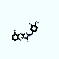 O=C1N/C(=N\c2c(Cl)cccc2Cl)S/C1=C\c1ccc(O)c(F)c1